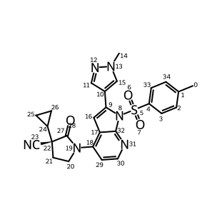 Cc1ccc(S(=O)(=O)n2c(-c3cnn(C)c3)cc3c(N4CC[C@](C#N)(C5CC5)C4=O)ccnc32)cc1